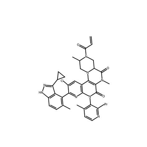 C=CC(=O)N1CC2C(=O)N(C)c3c(c4cc(Cl)c(-c5c(C)ccc6[nH]nc(C7CC7)c56)nc4n(-c4c(C)ccnc4C(C)C)c3=O)N2CC1C